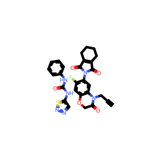 C#CCN1C(=O)COc2cc(F)c(N3C(=O)C4=C(CCCC4)C3=O)cc21.O=C(Nc1ccccc1)Nc1cnns1